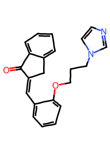 O=C1/C(=C/c2ccccc2OCCCn2ccnc2)Cc2ccccc21